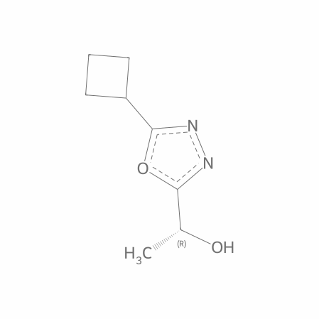 C[C@@H](O)c1nnc(C2CCC2)o1